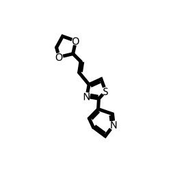 C(=CC1OCCO1)c1csc(-c2cccnc2)n1